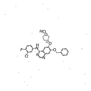 Cl.Fc1ccc(Nc2ncnc3cc(OCc4ccccc4)c(O[C@H]4CCOC4)cc23)cc1Cl